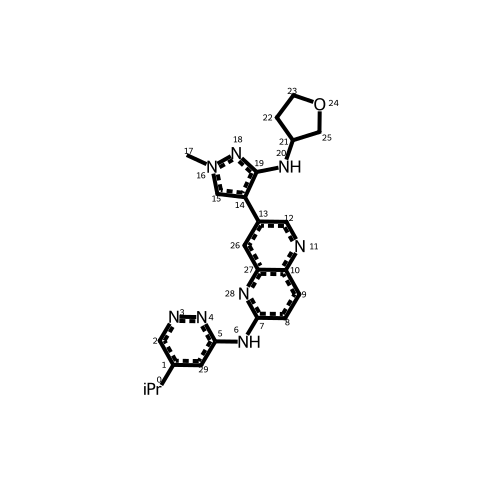 CC(C)c1cnnc(Nc2ccc3ncc(-c4cn(C)nc4NC4CCOC4)cc3n2)c1